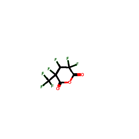 O=C1OC(=O)C(F)(C(F)(F)F)C(F)C1(F)F